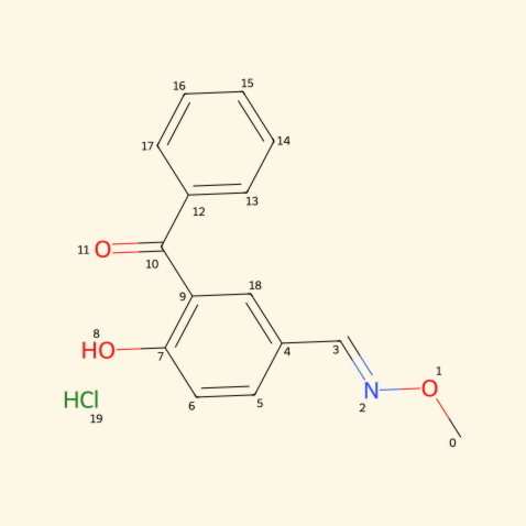 CON=Cc1ccc(O)c(C(=O)c2ccccc2)c1.Cl